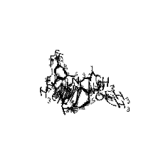 CCC1CC(N(Cc2cc(C(F)(F)F)cc(C(F)(F)F)c2)c2nnn(C)n2)c2nc(C(F)(F)F)ccc2N1C(=O)OC(C)C